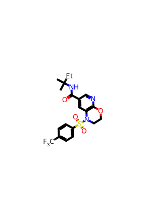 CCC(C)(C)NC(=O)c1cnc2c(c1)N(S(=O)(=O)c1ccc(C(F)(F)F)cc1)CCO2